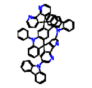 c1ccc(N2c3ccccc3C3(c4cc5c(cc42)C2(c4ccccc4-5)c4cccnc4-c4ncccc42)c2cc(-n4c5ccccc5c5ccccc54)cnc2-c2ncc(-n4c5ccccc5c5ccccc54)cc23)cc1